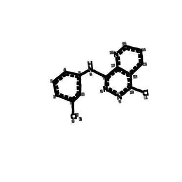 FC(F)(F)c1cccc(Nc2nnc(Cl)c3cccnc23)c1